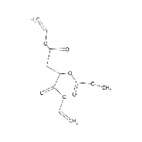 C=COC(=O)CC(OC(=O)CC)C(=O)OC=C